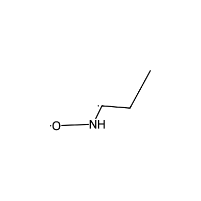 CC[CH]N[O]